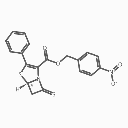 O=C(OCc1ccc([N+](=O)[O-])cc1)C1=C(c2ccccc2)S[C@H]2CC(=S)N12